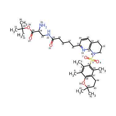 Cc1c(C)c(S(=O)(=O)N2CCCc3ccc(CCCCC(=O)NC[C@H](N)C(=O)OC(C)(C)C)nc32)c(C)c2c1OC(C)(C)CC2